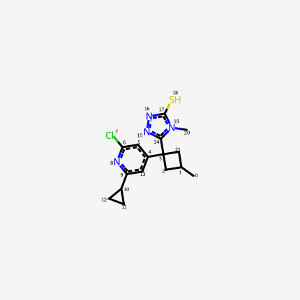 CC1CC(c2cc(Cl)nc(C3CC3)c2)(c2nnc(S)n2C)C1